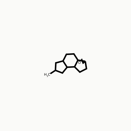 CC1CC2CCC34OCCC3CCC4C2C1